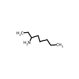 [CH2]CC(N)CCCCC